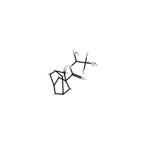 CC(OC(=O)C12CC3CC(CC(C3)C1=O)C2)C(C)(F)F